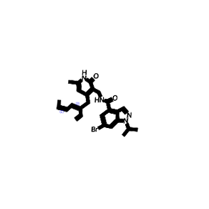 C=C/C(=C\C=C/C)Cc1cc(C)[nH]c(=O)c1CNC(=O)c1cc(Br)cc2c1cnn2C(C)C